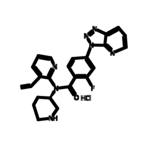 C=Cc1cccnc1N(C(=O)c1ccc(-n2nnc3cccnc32)cc1F)[C@@H]1CCCNC1.Cl